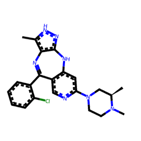 Cc1[nH]nc2c1N=C(c1ccccc1Cl)c1cnc(N3CCN(C)[C@H](C)C3)cc1N2